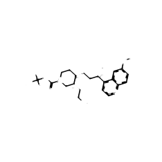 COc1ccc2nccc([C@@H](O)CC[C@@H]3CCN(C(=O)OC(C)(C)C)C[C@@H]3CCO)c2c1